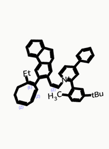 CC/C1=C(c2cc3c(ccc4ccccc43)cc2/C=C\[n+]2ccc(-c3ccccc3)cc2-c2cc(C(C)(C)C)ccc2C)/C=C\C=C/CC1